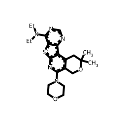 CCN(CC)c1ncnc2c1sc1nc(N3CCOCC3)c3c(c12)CC(C)(C)OC3